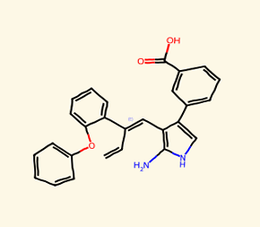 C=C/C(=C\c1c(-c2cccc(C(=O)O)c2)c[nH]c1N)c1ccccc1Oc1ccccc1